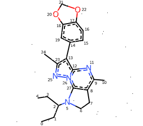 CCC(CC)N1CCc2c(C)nc3c(-c4ccc5c(c4)OCO5)c(C)nn3c21